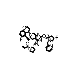 C#Cc1c(F)ccc2c1[C@@H](N1CCc3c(nc(OC[C@]4(C)C[C@@H](F)CN4Cc4ccccn4)nc3N(C)C[C@@H]3CCCN3C(=O)C=C)C1)CCO2